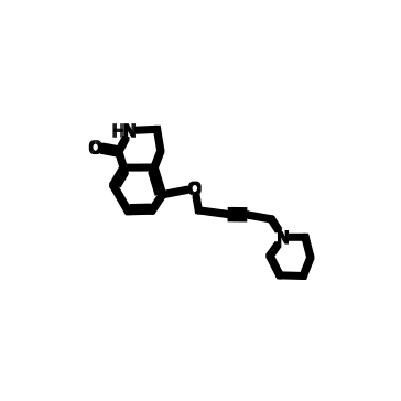 O=C1NCCc2c(OCC#CCN3CCCCC3)cccc21